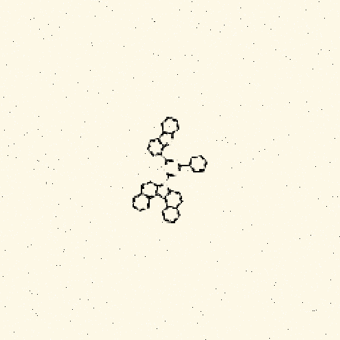 c1ccc(-c2nc(-c3cccc4c3sc3ccccc34)nc(-n3c4ccc5ccccc5c4c4c5ccccc5ccc43)n2)cc1